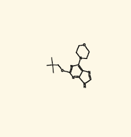 CC(C)(C)COc1nc(N2CCOCC2)c2nc[nH]c2n1